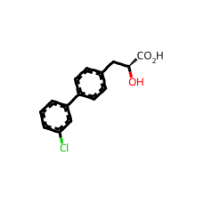 O=C(O)[C@@H](O)Cc1ccc(-c2cccc(Cl)c2)cc1